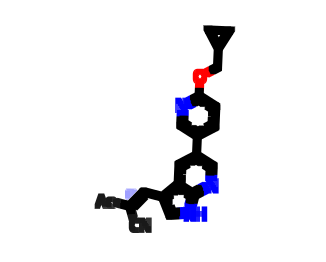 CC(=O)/C(C#N)=C/c1c[nH]c2ncc(-c3ccc(OCC4CC4)nc3)cc12